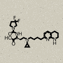 O=C(O)[C@H](CCN(CCCCc1ccc2c(n1)NCCC2)C1CC1)NC(=O)N1CCC(F)(F)C1